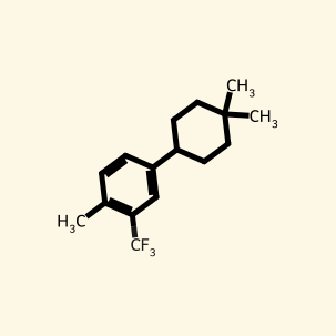 Cc1ccc(C2CCC(C)(C)CC2)cc1C(F)(F)F